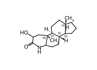 C[C@@]12CCC[C@H]1[C@@H]1CCC3NC(=O)C(O)C[C@]3(C)[C@H]1CC2